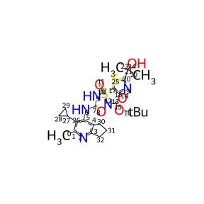 Cc1nc2c(c(NC(=O)N[S@](=O)(=NC(=O)OC(C)(C)C)c3cnc(C(C)(C)O)s3)c1C1CC1)CCC2